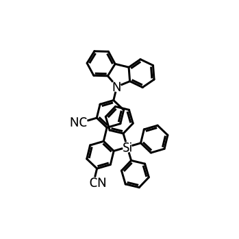 N#Cc1ccc(-c2ccc(-n3c4ccccc4c4ccccc43)cc2C#N)c([Si](c2ccccc2)(c2ccccc2)c2ccccc2)c1